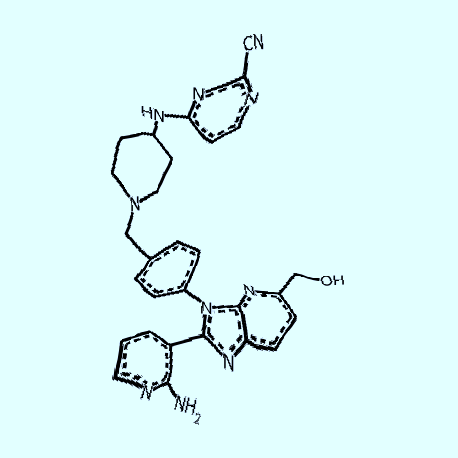 N#Cc1nccc(NC2CCN(Cc3ccc(-n4c(-c5cccnc5N)nc5ccc(CO)nc54)cc3)CC2)n1